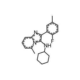 Cc1ccc(F)c(-c2nc3cccc(C)n3c2NC2CCCCC2)c1